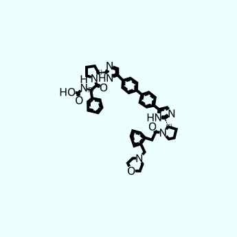 O=C(O)N[C@@H](C(=O)N1CCC[C@H]1c1ncc(-c2ccc(-c3ccc(-c4cnc([C@@H]5CCCN5C(=O)Cc5ccccc5CN5CCOCC5)[nH]4)cc3)cc2)[nH]1)c1ccccc1